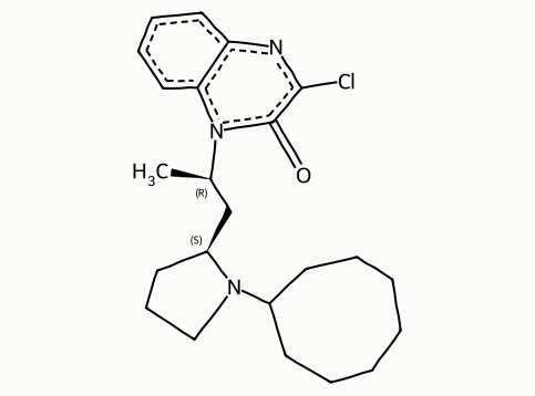 C[C@H](C[C@@H]1CCCN1C1CCCCCCC1)n1c(=O)c(Cl)nc2ccccc21